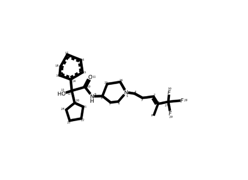 C/C(=C\CCN1CCC(NC(=O)C(O)(c2ccccc2)C2CCCC2)CC1)C(F)(F)F